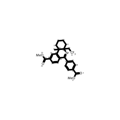 COC(=O)c1ccc(C2=NC3(CC(F)(F)F)CCCCC3(C)c3cc(C(=O)OC)ccc32)cc1